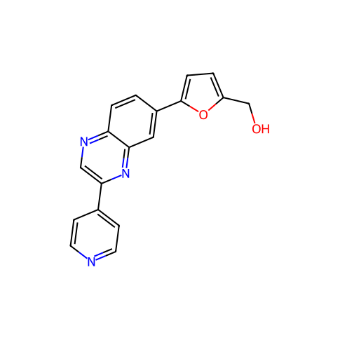 OCc1ccc(-c2ccc3ncc(-c4ccncc4)nc3c2)o1